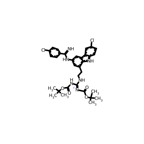 CC(C)(C)OC(=O)/N=C(\NCCc1cc(NC(=N)c2ccc(Cl)cc2)cc2c1[nH]c1ccc(Cl)cc12)NC(=O)OC(C)(C)C